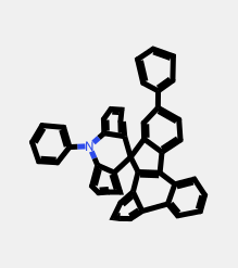 c1ccc(-c2ccc3c(c2)C2(c4ccccc4N(c4ccccc4)c4ccccc42)c2c-3c3ccccc3c3ccccc23)cc1